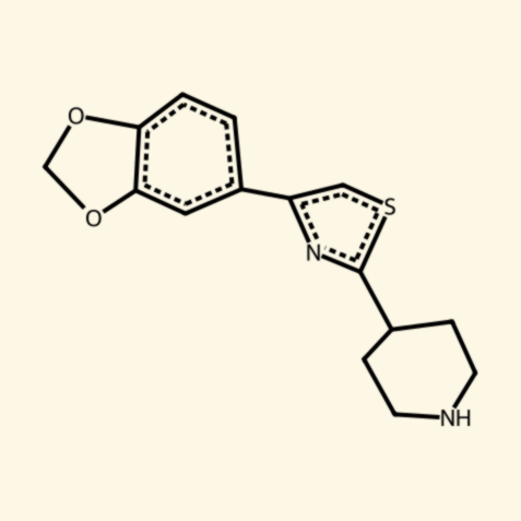 c1cc2c(cc1-c1csc(C3CCNCC3)n1)OCO2